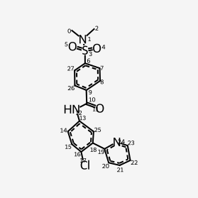 CN(C)S(=O)(=O)c1ccc(C(=O)Nc2ccc(Cl)c(-c3ccccn3)c2)cc1